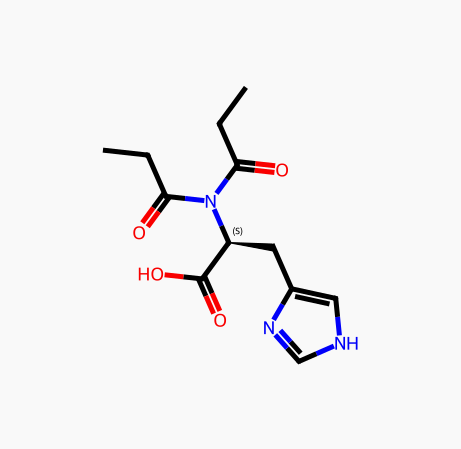 CCC(=O)N(C(=O)CC)[C@@H](Cc1c[nH]cn1)C(=O)O